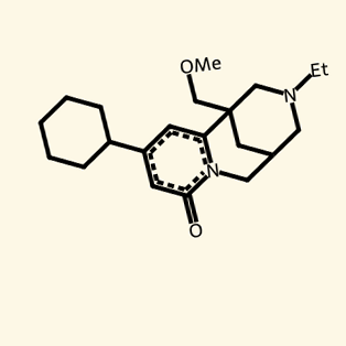 CCN1CC2Cn3c(cc(C4CCCCC4)cc3=O)C(COC)(C2)C1